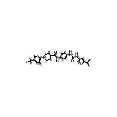 CC(C)c1cc(NC(=O)Nc2ccc(NC(=O)C3CCN(c4ncc(C(F)(F)F)cc4Cl)CC3)cc2)no1